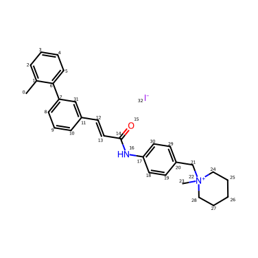 Cc1ccccc1-c1cccc(C=CC(=O)Nc2ccc(C[N+]3(C)CCCCC3)cc2)c1.[I-]